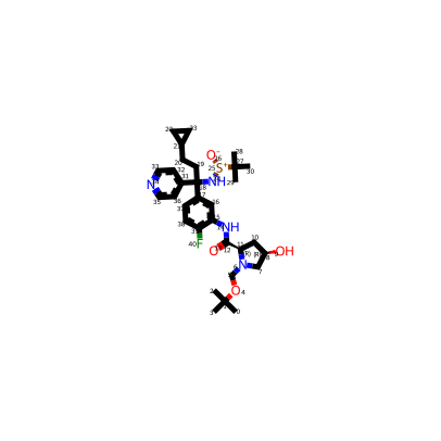 CC(C)(C)OCN1C[C@H](O)C[C@@H]1C(=O)Nc1cc(C(CCC2CC2)(N[S+]([O-])C(C)(C)C)c2ccncc2)ccc1F